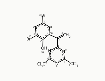 C=C(c1nc(C(Cl)(Cl)Cl)nc(C(Cl)(Cl)Cl)n1)c1cc(Br)cc(Br)c1O